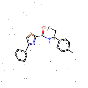 Cc1ccc([C@H](CC(=O)O)NC(=O)c2nc(-c3ccccc3)cs2)cc1